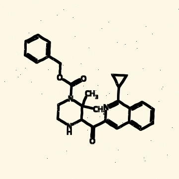 CC1(C)C(C(=O)c2cc3ccccc3c(C3CC3)n2)NCCN1C(=O)OCc1ccccc1